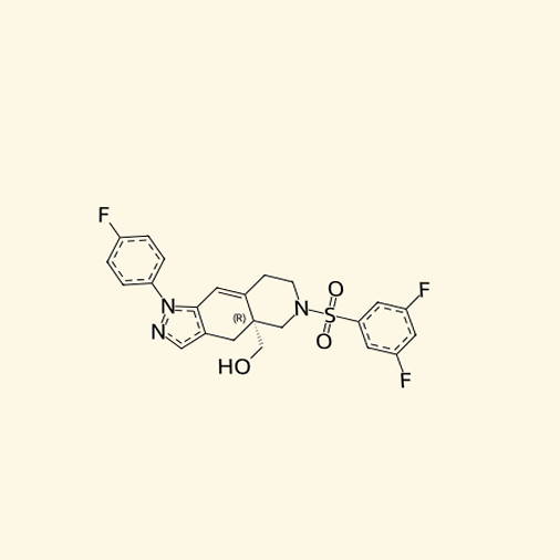 O=S(=O)(c1cc(F)cc(F)c1)N1CCC2=Cc3c(cnn3-c3ccc(F)cc3)C[C@]2(CO)C1